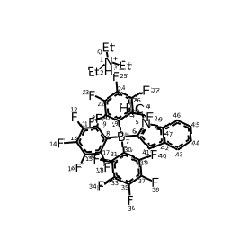 CC[NH+](CC)CC.Cn1c([B-](c2c(F)c(F)c(F)c(F)c2F)(c2c(F)c(F)c(F)c(F)c2F)c2c(F)c(F)c(F)c(F)c2F)cc2ccccc21